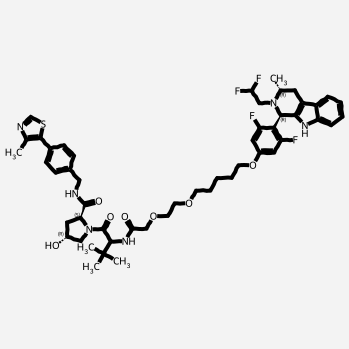 Cc1ncsc1-c1ccc(CNC(=O)[C@@H]2C[C@@H](O)CN2C(=O)C(NC(=O)COCCOCCCCCOc2cc(F)c([C@@H]3c4[nH]c5ccccc5c4C[C@@H](C)N3CC(F)F)c(F)c2)C(C)(C)C)cc1